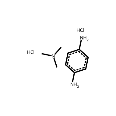 CN(C)C.Cl.Cl.Nc1ccc(N)cc1